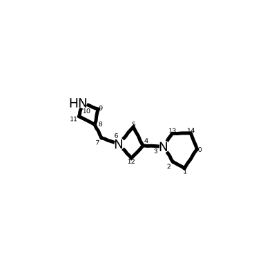 C1CCN(C2CN(CC3CNC3)C2)CC1